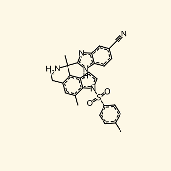 CCc1cc(C)c2c(ccn2S(=O)(=O)c2ccc(C)cc2)c1C(C)(N)c1nc2cc(C#N)ccc2[nH]1